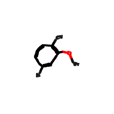 CCc1ccc(C#N)c(OC(C)C)c1